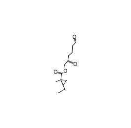 CCC1CC1(C)C(=O)OCC(=O)CCCC=O